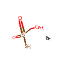 O=S(=O)(O)S.[Re]